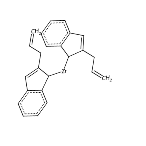 C=CCC1=Cc2ccccc2[CH]1[Zr][CH]1C(CC=C)=Cc2ccccc21